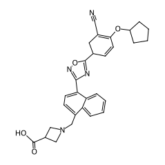 N#CC1=C(OC2CCCC2)C=CC(c2nc(-c3ccc(CN4CC(C(=O)O)C4)c4ccccc34)no2)C1